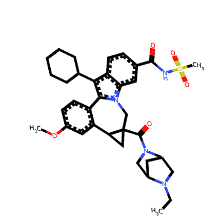 CCN1CC2CC1CN2C(=O)C12CC1c1cc(OC)ccc1-c1c(C3CCCCC3)c3ccc(C(=O)NS(C)(=O)=O)cc3n1C2